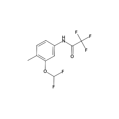 Cc1ccc(NC(=O)C(F)(F)F)cc1OC(F)F